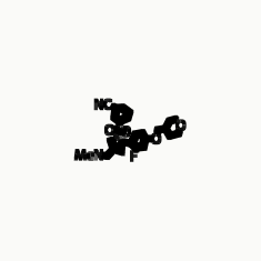 CNCc1cc(-c2ccc(OCC3CCOCC3)cc2F)n(S(=O)(=O)c2cccc(C#N)c2)c1